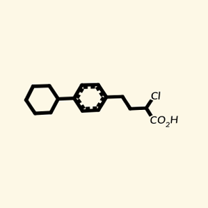 O=C(O)C(Cl)CCc1ccc(C2CCCCC2)cc1